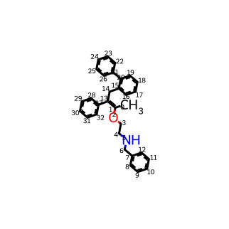 C/C(OCCNCc1ccccc1)=C(\Cc1ccccc1-c1ccccc1)c1ccccc1